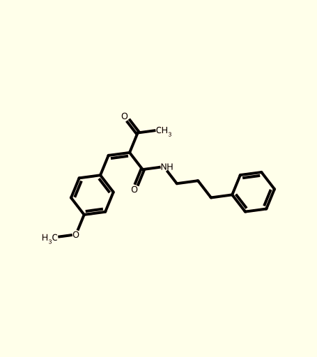 COc1ccc(/C=C(/C(C)=O)C(=O)NCCCc2ccccc2)cc1